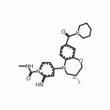 CNC(=O)n1ccc(N2C[C@@H](C)COc3cc(C(=O)N4CCCCC4)ccc32)cc1=N